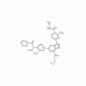 Cc1cc(-n2cnc3c(NCCC(F)(F)F)cc(-c4ccc(C(O)C(=O)c5ccccc5)c(C)c4)cc32)ccc1C(=O)NC1CC1